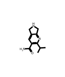 CC(C)c1nc2c(cc1C(N)=O)CNC2